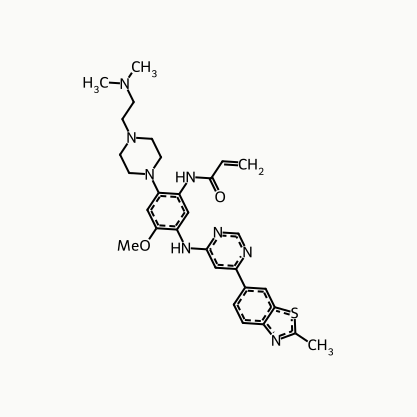 C=CC(=O)Nc1cc(Nc2cc(-c3ccc4nc(C)sc4c3)ncn2)c(OC)cc1N1CCN(CCN(C)C)CC1